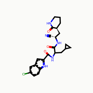 N#C[C@H](C[C@@H]1CCCNC1=O)NC(=O)C(CC1CC1)NC(=O)c1cc2cc(Cl)ccc2[nH]1